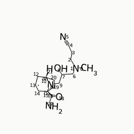 CN(CCC#N)CC(O)CN1[C@@H]2C[CH]C[C@@]1(C(N)=O)CC2